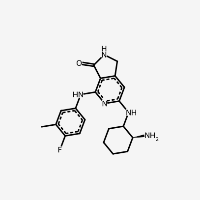 Cc1cc(Nc2nc(NC3CCCC[C@@H]3N)cc3c2C(=O)NC3)ccc1F